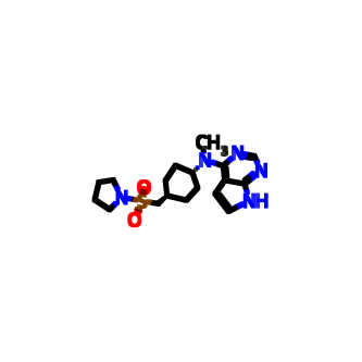 CN(c1ncnc2[nH]ccc12)[C@H]1CC[C@H](CS(=O)(=O)N2CCCC2)CC1